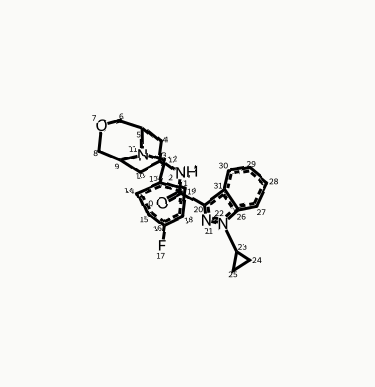 O=C(NC1CC2COCC(C1)N2Cc1ccc(F)cc1)c1nn(C2CC2)c2ccccc12